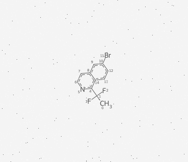 CC(F)(F)c1nccc2cc(Br)ccc12